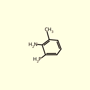 Cc1cccc(P)c1N